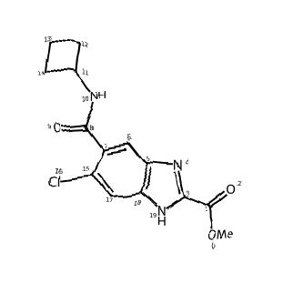 COC(=O)c1nc2cc(C(=O)NC3CCC3)c(Cl)cc2[nH]1